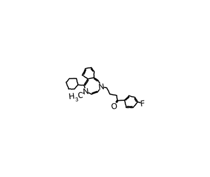 Cn1ccn(CCCC(=O)c2ccc(F)cc2)cc2ccccc2c1C1CCCCC1